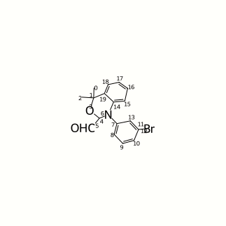 CC1(C)OC(C=O)N(c2cccc(Br)c2)c2ccccc21